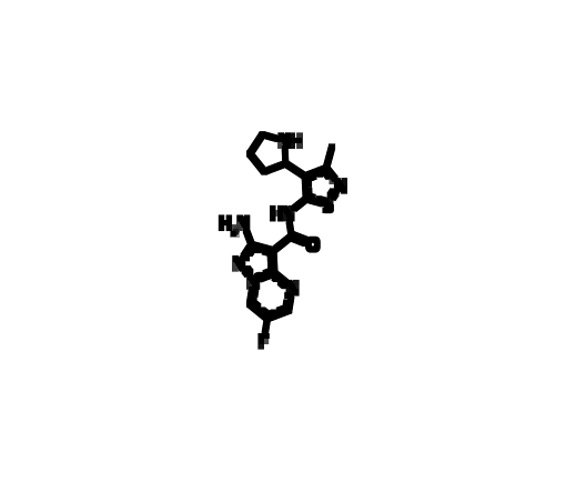 Cc1nsc(NC(=O)c2c(N)nn3cc(F)cnc23)c1C1CCCN1